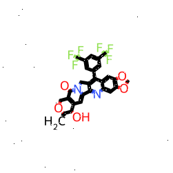 C=C1OCc2c(cc3n(c2=O)Cc2c-3nc3cc4c(cc3c2-c2cc(C(F)(F)F)cc(C(F)(F)F)c2)OCO4)C1O